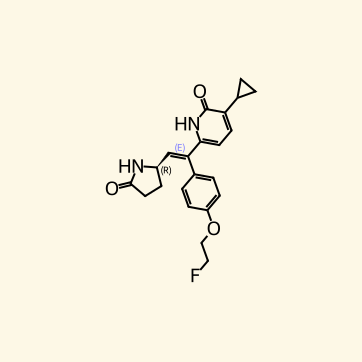 O=C1CC[C@H](/C=C(\c2ccc(OCCF)cc2)c2ccc(C3CC3)c(=O)[nH]2)N1